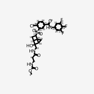 COC(=O)NCCC(=O)NC[C@@]1(O)C2CC(S(=O)(=O)c3cc(C(=O)Nc4cc(F)c(F)c(F)c4)ccc3Cl)C23CC31